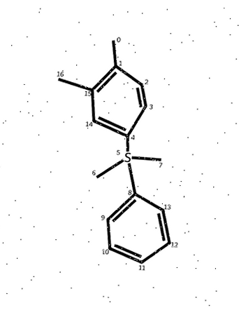 Cc1ccc(S(C)(C)c2ccccc2)cc1C